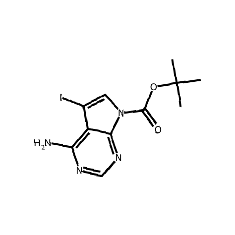 CC(C)(C)OC(=O)n1cc(I)c2c(N)ncnc21